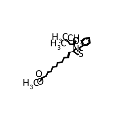 COC(=O)CCCCCCCC/C=C/[C@@H]1CSC(c2ccccc2)N1C(=O)CC(C)(C)C